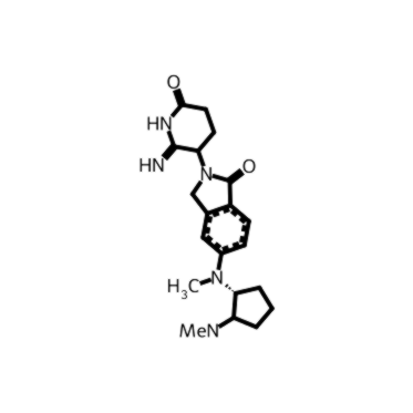 CNC1CCC[C@H]1N(C)c1ccc2c(c1)CN(C1CCC(=O)NC1=N)C2=O